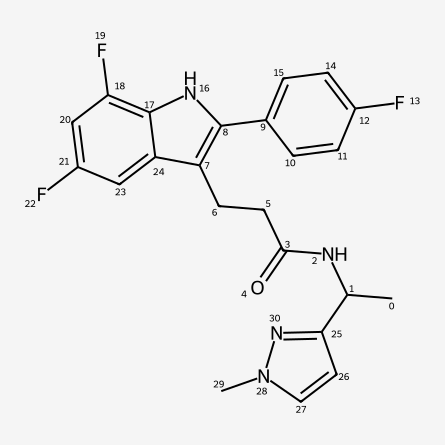 CC(NC(=O)CCc1c(-c2ccc(F)cc2)[nH]c2c(F)cc(F)cc12)c1ccn(C)n1